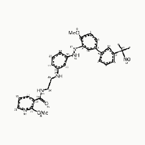 COc1ccc(-c2cccc(C(C)(C)N=O)c2)cc1SNc1cccc(NCCNC(=O)c2cccnc2OC)c1